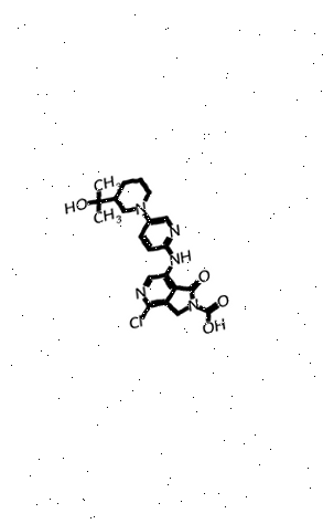 CC(C)(O)C1CCCN(c2ccc(Nc3cnc(Cl)c4c3C(=O)N(C(=O)O)C4)nc2)C1